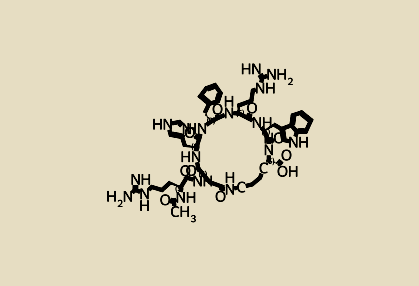 CC(=O)N[C@@H](CCCNC(=N)N)C(=O)N[C@H]1CC(=O)NCCCC[C@@H](C(=O)O)NC(=O)[C@H](Cc2c[nH]c3ccccc23)NC(=O)[C@H](CCCNC(=N)N)NC(=O)[C@@H](Cc2ccccc2)NC(=O)[C@H](Cc2c[nH]cn2)NC1=O